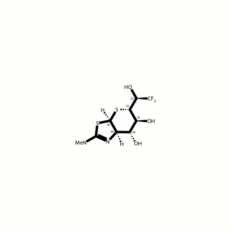 CNC1=N[C@H]2[C@@H](S1)S[C@H]([C@@H](O)C(F)(F)F)[C@@H](O)[C@@H]2O